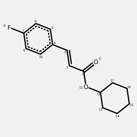 O=C(C=Cc1ccc(F)cc1)OC1CCCCC1